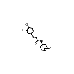 O=C(COc1ccc(Cl)c(F)c1)NC12CCC(CC1)C(F)C2